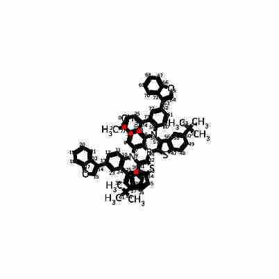 CC(C)c1cc2c3c(c1)N(c1ccc(-c4coc5ccccc45)cc1-c1ccccc1)c1c(sc4ccc(C(C)(C)C)cc14)B3c1sc3ccc(C(C)(C)C)cc3c1N2c1ccc(-c2coc3ccccc23)cc1-c1ccccc1